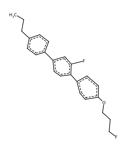 CCCc1ccc(-c2ccc(-c3ccc(OCCCF)cc3)c(F)c2)cc1